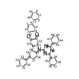 c1ccc(-c2ccc3c(c2)Oc2cc4c(cc2O3)c2cc(-c3ccccc3)ccc2n4-c2nc(-c3ccccc3)nc(-c3ccccc3)n2)cc1